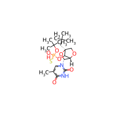 Cc1cn([C@@H]2O[C@@]3(CC(C)(C)C)CO[C@H]2C3OP(O)(=S)OC(C)(C)C)c(=O)[nH]c1=O